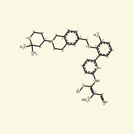 CCO/C(Nc1cccc(-c2cccc(C)c2OCc2ccc3c(c2)CCN(C2CCOC(C)(C)C2)C3)n1)=C(/C=N)C(=O)O